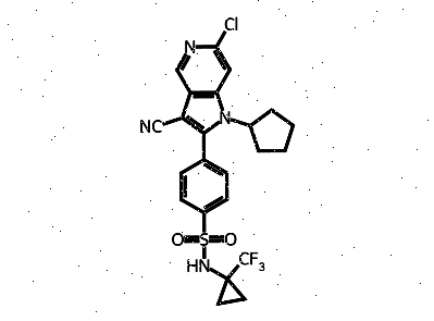 N#Cc1c(-c2ccc(S(=O)(=O)NC3(C(F)(F)F)CC3)cc2)n(C2CCCC2)c2cc(Cl)ncc12